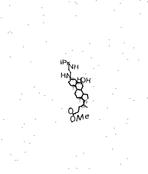 COC(=O)CC[C@H](C)[C@H]1CCC2C3C[C@@H](O)[C@H]4C[C@@H](NCCNC(C)C)CC[C@]4(C)C3CC[C@@]21C